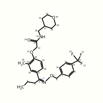 CCC/C(=N/OCc1ccc(C(F)(F)F)cc1)c1ccc(OCC(=O)NCC2CCOCC2)c(C)c1